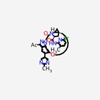 CC(=O)c1nn2c3cc(c(-c4cnc(C)nc4)cc13)OCCCCCCCCC[C@@]13C[C@@H](C(=O)Nc4nc(Br)ccc4C)N(C(=O)C2)[C@@H]1C3